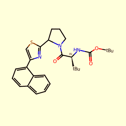 CC(C)(C)OC(=O)N[C@H](C(=O)N1CCCC1c1nc(-c2cccc3ccccc23)cs1)C(C)(C)C